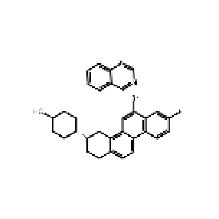 O[C@H]1CC[C@H](C2CCc3ccc4c(cc(Br)c5cc(Br)ccc54)c3C2)CC1.c1ccc2ncncc2c1